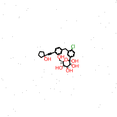 OC[C@H]1O[C@@](O)(c2ccc(Cl)c(Cc3ccc(C#CC4(O)CCCC4)cc3)c2)[C@H](O)[C@@H](O)[C@@H]1O